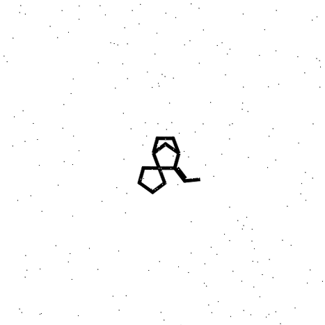 CC=C1C2CCC(C2)C12CCCC2